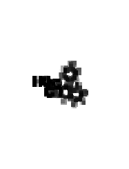 OB(O)Oc1ccc2ccccc2c1-c1ccccc1